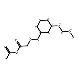 C=C(C)OC(=O)COCC1CCCC(OCOC)C1